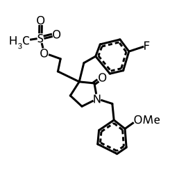 COc1ccccc1CN1CCC(CCOS(C)(=O)=O)(Cc2ccc(F)cc2)C1=O